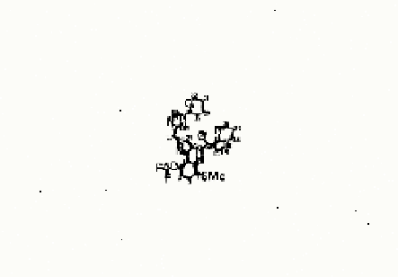 CSc1ccc(OC(F)F)c(-c2nn(Cc3nnn(C4CCCCO4)n3)cc2NC(=O)c2cnn3cccnc23)c1